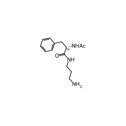 CC(=O)N[C@@H](Cc1ccccc1)C(=O)NCCCN